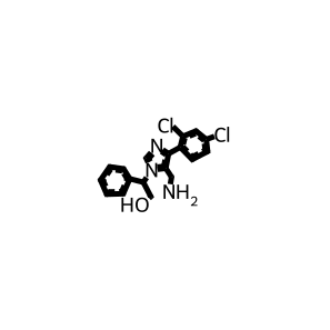 NCc1c(-c2ccc(Cl)cc2Cl)ncn1C(CO)c1ccccc1